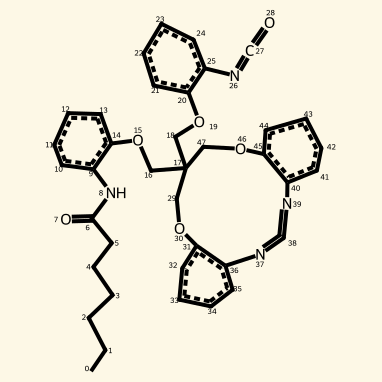 CCCCCCC(=O)Nc1ccccc1OCC1(COc2ccccc2N=C=O)COc2ccccc2N=C=Nc2ccccc2OC1